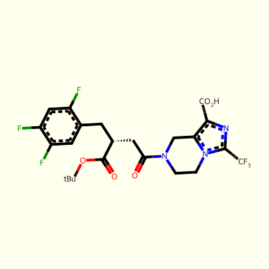 CC(C)(C)OC(=O)[C@@H](CC(=O)N1CCn2c(C(F)(F)F)nc(C(=O)O)c2C1)Cc1cc(F)c(F)cc1F